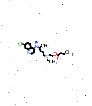 CCCC(=O)OCCN(CC)CCCC(C)Nc1ccnc2cc(Cl)ccc12